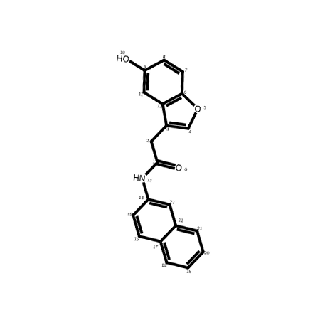 O=C([CH]c1coc2ccc(O)cc12)Nc1ccc2ccccc2c1